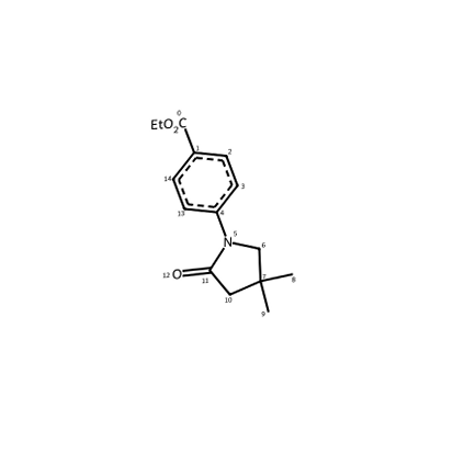 CCOC(=O)c1ccc(N2CC(C)(C)CC2=O)cc1